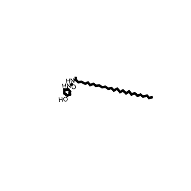 CCCCCCCCCCCCCCCCCCCCCCCCCCC(C)NC(=O)Nc1ccc(O)cc1